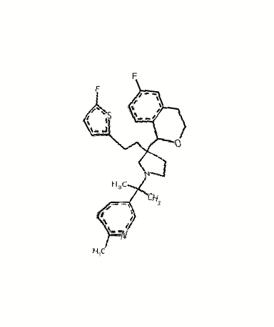 Cc1ccc(C(C)(C)N2CCC(CCc3ccc(F)s3)(C3OCCc4cc(F)ccc43)C2)cn1